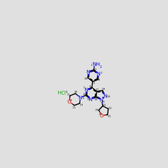 Cl.Nc1ncc(-c2nc(N3CCOCC3)nc3c2cnn3C2CCOC2)cn1